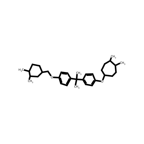 CC1CCC(Oc2ccc(C(C)(C)c3ccc(OCC4CCC(C)C(C)C4)cc3)cc2)CCC1C